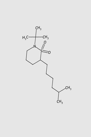 CC(C)CCCCC1CCCN(C(C)(C)C)S1(=O)=O